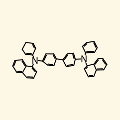 C1=CC(N(c2ccc(-c3ccc(N(c4ccccc4)c4cccc5ccccc45)cc3)cc2)c2cccc3ccccc23)=CCC1